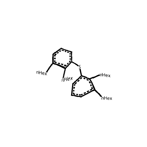 CCCCCCc1cccc(Sc2cccc(CCCCCC)c2CCCCCC)c1CCCCCC